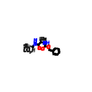 CC(C)(C)[C@H](NC(=O)[C@@H](NC(=O)OCc1ccccc1)C(C)(C)C)C(=O)O